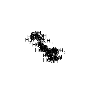 COC[C@H]1[C@@H](O)[C@H](n2c[n+](C)c3c(=O)[nH]c(N)nc32)O[C@@H]1COP(=O)(O)OP(=O)(O)CP(=O)(O)OP(=O)(O)OCC1O[C@@H](n2cnc3c(N)ncnc32)[C@H](OC)[C@@H]1P(=O)([O-])OC[C@H]1O[C@@H](n2ccc(=O)[nH]c2=O)[C@H](O)[C@@H]1O